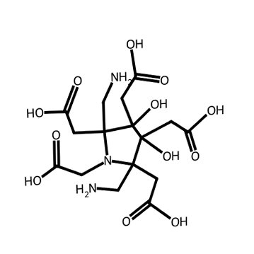 NCC1(CC(=O)O)N(CC(=O)O)C(CN)(CC(=O)O)C(O)(CC(=O)O)C1(O)CC(=O)O